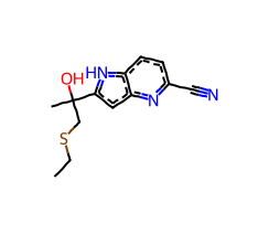 CCSCC(C)(O)c1cc2nc(C#N)ccc2[nH]1